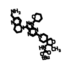 C[C@@H]1OCC2(CCN(c3cnc4c(N5CCCc6nc(CN)ccc65)nn(C5CCCCO5)c4n3)CC2)[C@@H]1NC(=O)OC(C)(C)C